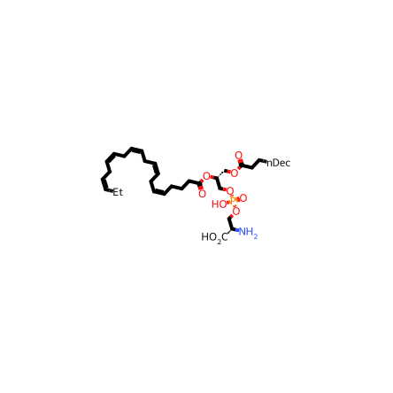 CC/C=C\C/C=C\C/C=C\C/C=C\C/C=C\CCCC(=O)O[C@H](COC(=O)CCCCCCCCCCCC)COP(=O)(O)OC[C@H](N)C(=O)O